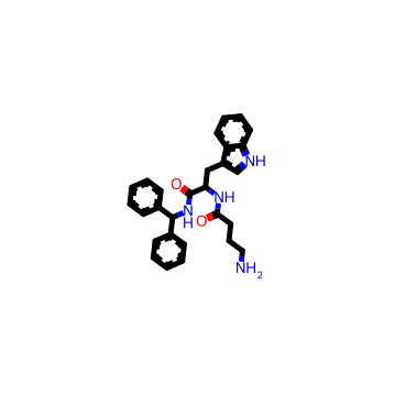 NCCCC(=O)NC(Cc1c[nH]c2ccccc12)C(=O)NC(c1ccccc1)c1ccccc1